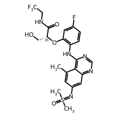 Cc1cc(N=S(C)(C)=O)cc2ncnc(Nc3ccc(F)cc3O[C@H](CO)C(=O)NCC(F)(F)F)c12